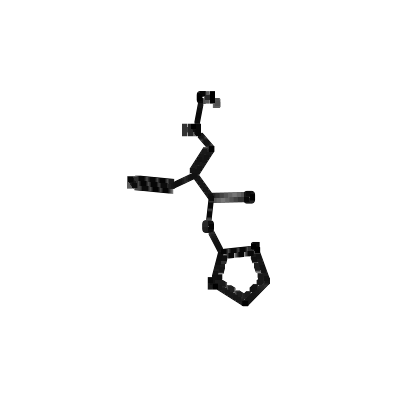 CNC=C(C#N)C(=O)Oc1nccs1